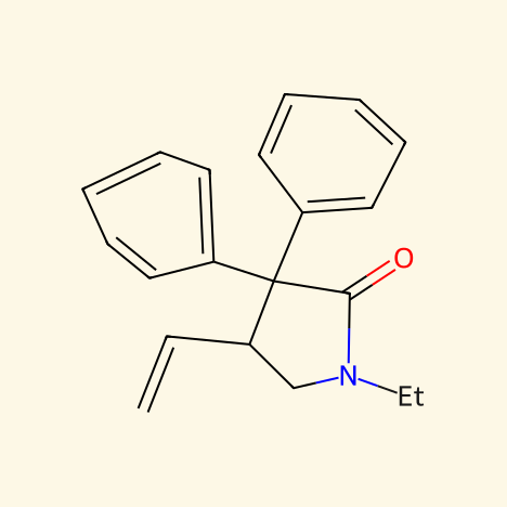 C=CC1CN(CC)C(=O)C1(c1ccccc1)c1ccccc1